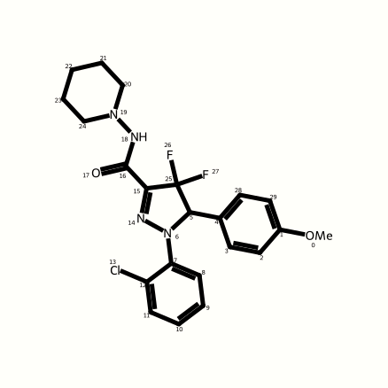 COc1ccc(C2N(c3ccccc3Cl)N=C(C(=O)NN3CCCCC3)C2(F)F)cc1